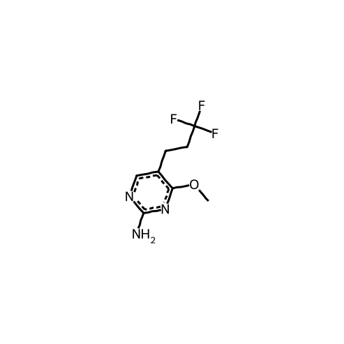 COc1nc(N)ncc1CCC(F)(F)F